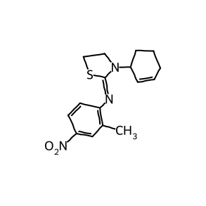 Cc1cc([N+](=O)[O-])ccc1N=C1SCCN1C1C=CCCC1